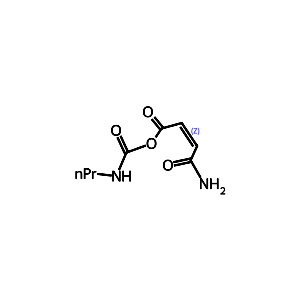 CCCNC(=O)OC(=O)/C=C\C(N)=O